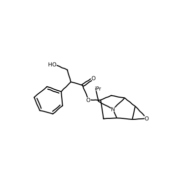 CC(C)CN1C2CC(OC(=O)C(CO)c3ccccc3)CC1C1OC12